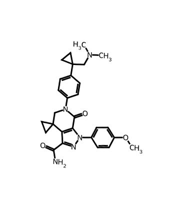 COc1ccc(-n2nc(C(N)=O)c3c2C(=O)N(c2ccc(C4(CN(C)C)CC4)cc2)CC32CC2)cc1